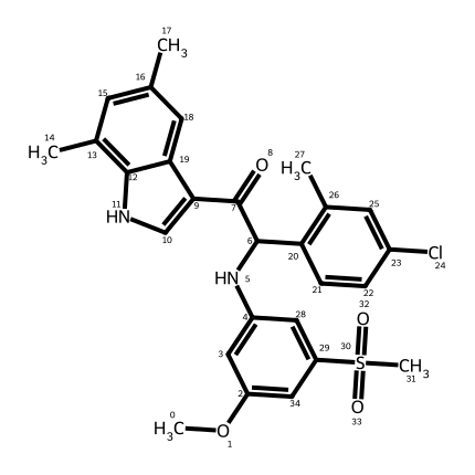 COc1cc(NC(C(=O)c2c[nH]c3c(C)cc(C)cc23)c2ccc(Cl)cc2C)cc(S(C)(=O)=O)c1